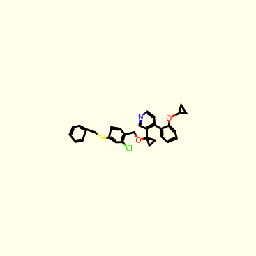 Clc1cc(SCc2ccccc2)ccc1COC1(c2cnccc2-c2ccccc2OC2CC2)CC1